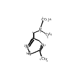 Cc1nc(CN(C)C(=O)O)n[nH]1